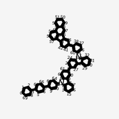 c1ccc(-c2ccc(-c3ccc(-n4c5ccccc5c5cc(-c6ccc7c(c6)c6ccccc6n7-c6cccc(-c7ccc8c(c7)-c7cc9ccccc9c9cccc-8c79)c6)ccc54)cc3)cc2)cc1